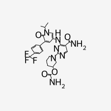 CC(C)n1cc(Nc2nc(N3CCCC(OC(N)=O)C3)ncc2C(N)=O)cc(-c2ccc(C(F)(F)F)cc2)c1=O